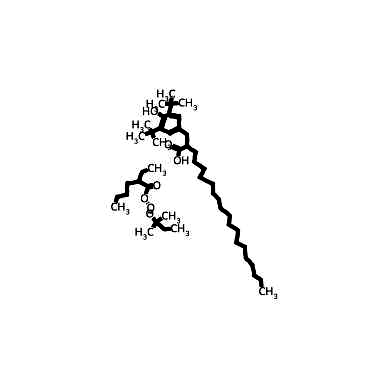 CCCCC(CC)C(=O)OOOC(C)(C)CC.CCCCCCCCCCCCCCCCCCC(Cc1cc(C(C)(C)C)c(O)c(C(C)(C)C)c1)C(=O)O